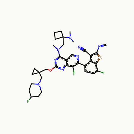 C=Nc1sc2c(F)ccc(-c3ncc4c(N(C)CC5(N(C)C)CCC5)nc(OCC5(CN6CCC(F)CC6)CC5)nc4c3F)c2c1C#N